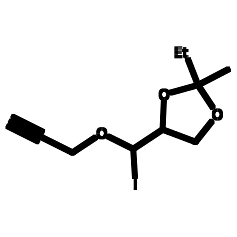 C#CCOC(I)C1COC(C)(CC)O1